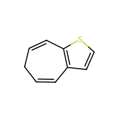 C1=Cc2ccsc2C=CC1